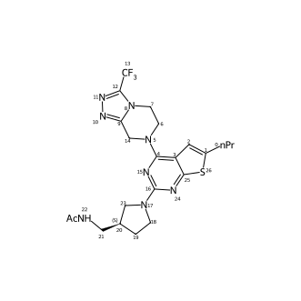 CCCc1cc2c(N3CCn4c(nnc4C(F)(F)F)C3)nc(N3CC[C@@H](CNC(C)=O)C3)nc2s1